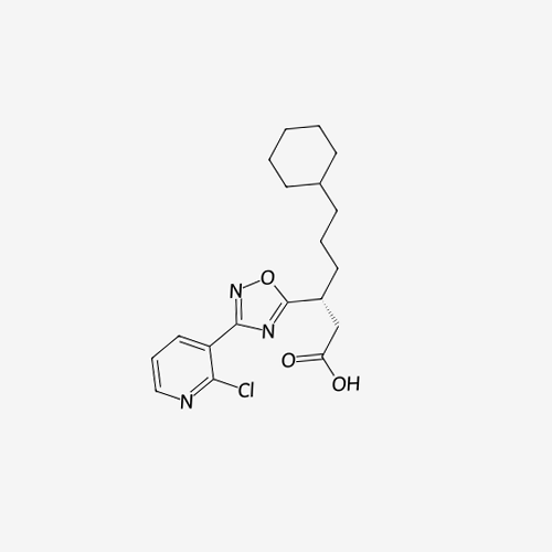 O=C(O)C[C@@H](CCCC1CCCCC1)c1nc(-c2cccnc2Cl)no1